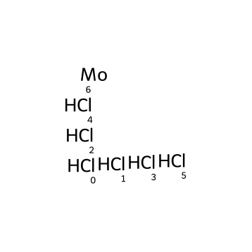 Cl.Cl.Cl.Cl.Cl.Cl.[Mo]